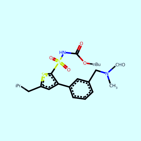 CCCCOC(=O)NS(=O)(=O)c1sc(CC(C)C)cc1-c1cccc(CN(C)C=O)c1